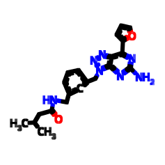 CC(C)CC(=O)NCc1cccc(Cn2nnc3c(-c4ccco4)nc(N)nc32)c1